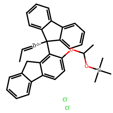 C[CH]=[Zr+2][C]1(c2c(OC(C)O[Si](C)(C)C)ccc3c2Cc2ccccc2-3)c2ccccc2-c2ccccc21.[Cl-].[Cl-]